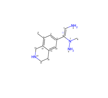 Cc1cc(/C(=C/N)N(C)N)cc2c1CNCC2